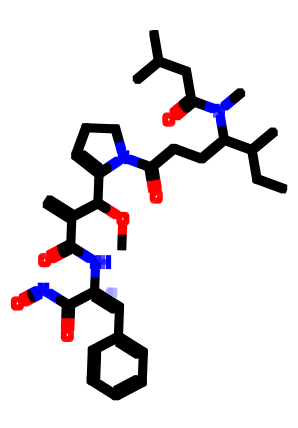 C=C(C(=O)N/C(=C/c1ccccc1)C(=O)N=O)C(OC)C1=CCCN1C(=O)CCC(C(C)CC)N(C)C(=O)CC(C)C